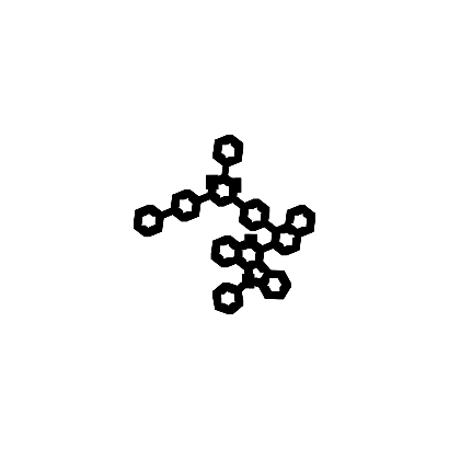 c1ccc(-c2ccc(-c3cc(-c4ccc(-c5c(-c6nc7ccccc7c7c6c6ccccc6n7-c6ccccc6)ccc6ccccc56)cc4)nc(-c4ccccc4)n3)cc2)cc1